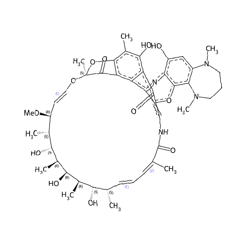 CO[C@H]1/C=C/O[C@@]2(C)Oc3c(C)c(O)c4c(=O)c(c5oc6c7c(cc(O)c6nc-5c4c3C2=O)N(C)CCCN7C)NC(=O)/C(C)=C\C=C\[C@H](C)[C@H](O)[C@@H](C)[C@@H](O)[C@@H](C)[C@H](O)[C@@H]1C